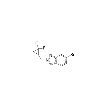 FC1(F)CC1Cn1cc2ccc(Br)cc2n1